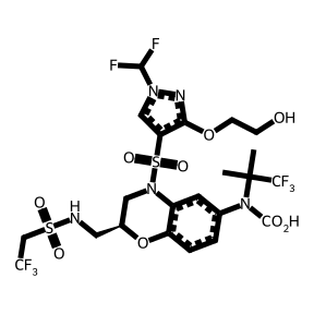 CC(C)(N(C(=O)O)c1ccc2c(c1)N(S(=O)(=O)c1cn(C(F)F)nc1OCCO)C[C@H](CNS(=O)(=O)CC(F)(F)F)O2)C(F)(F)F